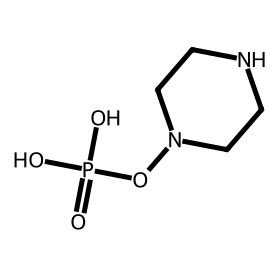 O=P(O)(O)ON1CCNCC1